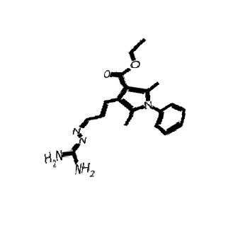 CCOC(=O)c1c(/C=C/C=N\N=C(N)N)c(C)n(-c2ccccc2)c1C